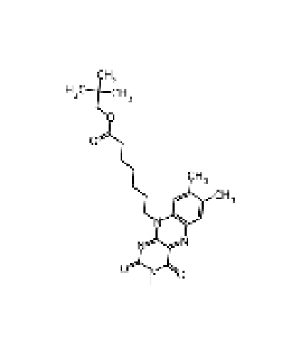 Cc1cc2nc3c(=O)[nH]c(=O)nc-3n(CCCCCCC(=O)OCC(C)(C)C)c2cc1C